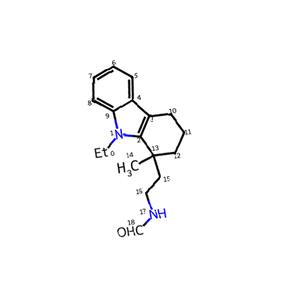 CCn1c2c(c3ccccc31)CCCC2(C)CCNC=O